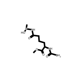 BC(=O)NC(CCCC(=O)NB(C)O)C(=O)OC